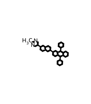 Cc1ncc(-c2ccc3cc(-c4ccc5c(-c6ccccc6)c6ccccc6c(-c6ccccc6)c5c4)ccc3c2)cn1